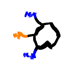 Nc1cccc(N)c1P